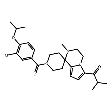 CC(C)Oc1ccc(C(=O)N2CCC3(CC2)c2ccc(C(=O)C(C)C)n2CCN3C)cc1Cl